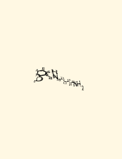 COc1ccccc1CNCCCCCCN